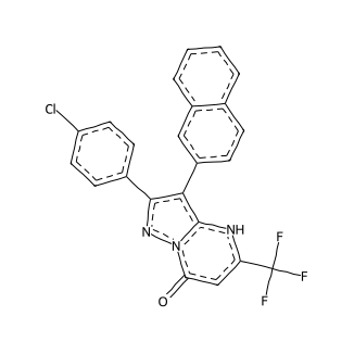 O=c1cc(C(F)(F)F)[nH]c2c(-c3ccc4ccccc4c3)c(-c3ccc(Cl)cc3)nn12